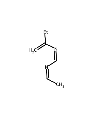 C=C(CC)/N=C\N=C/C